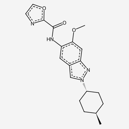 COc1cc2nn([C@H]3CC[C@H](C)CC3)cc2cc1NC(=O)c1ncco1